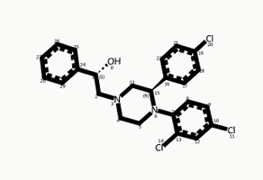 O[C@H](CN1CCN(c2ccc(Cl)cc2Cl)[C@H](c2ccc(Cl)cc2)C1)c1ccccc1